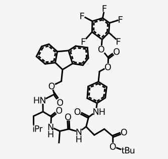 CC(C)CC(NC(=O)OCC1c2ccccc2-c2ccccc21)C(=O)NC(C)C(=O)NC(CCC(=O)OC(C)(C)C)C(=O)Nc1ccc(COC(=O)Oc2c(F)c(F)c(F)c(F)c2F)cc1